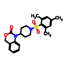 Cc1cc(C)c(S(=O)(=O)N2CCC(N3C(=O)OCc4ccccc43)CC2)c(C)c1